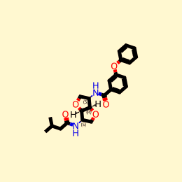 CC(C)CC(=O)N[C@H]1CO[C@H]2[C@@H]1OC[C@@H]2NC(=O)c1cccc(Oc2ccccc2)c1